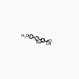 CN1CCC(N2CCN(c3ccc(C(C#N)=C[O-])cc3)CC2)CC1.[Na+]